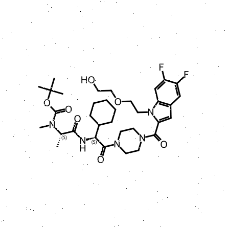 C[C@@H](C(=O)N[C@H](C(=O)N1CCN(C(=O)c2cc3cc(F)c(F)cc3n2CCOCCO)CC1)C1CCCCC1)N(C)C(=O)OC(C)(C)C